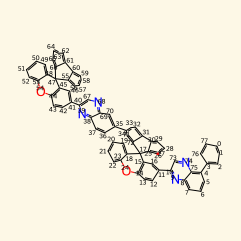 c1ccc(-c2cccc3nc(-c4ccc5c(c4)C4(c6ccccc6O5)c5ccccc5-c5ccc(-c6ccc7nc(-c8ccc9c(c8)C8(c%10ccccc%10O9)c9ccccc9-c9ccccc98)cnc7c6)cc54)cnc23)cc1